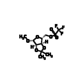 CO[C@@H]1O[C@H](COS(=O)(=O)C(F)(F)F)[C@H]2OC(C)(C)O[C@@H]12